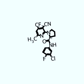 Cc1cc(C(F)(F)F)c(C#N)c(N2CCC[C@H]2C(=O)Nc2ccc(F)c(Cl)c2)n1